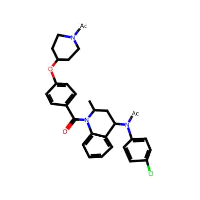 CC(=O)N1CCC(Oc2ccc(C(=O)N3c4ccccc4C(N(C(C)=O)c4ccc(Cl)cc4)CC3C)cc2)CC1